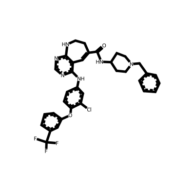 O=C(NC1CCN(Cc2ccccc2)CC1)C1=Cc2c(ncnc2Nc2ccc(Oc3cccc(C(F)(F)F)c3)c(Cl)c2)NCC1